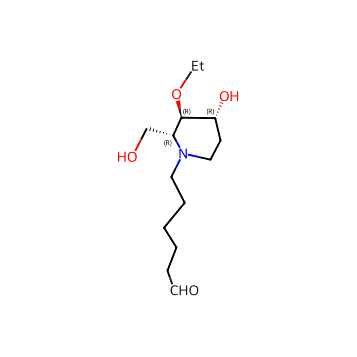 CCO[C@H]1[C@H](O)CCN(CCCCCC=O)[C@@H]1CO